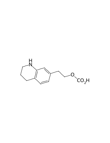 O=C(O)OCCc1ccc2c(c1)NCCC2